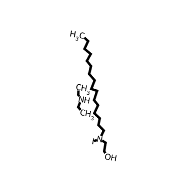 CCCCCCCCCCCCCCCCN(I)CCO.CCNCC